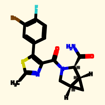 Cc1nc(C(=O)N2C[C@@H]3C[C@@H]3[C@H]2C(N)=O)c(-c2ccc(F)c(Br)c2)s1